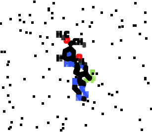 COC(C)[C@]12C[C@H](C)C[C@H](C1)N2C(=O)Nc1cc(-c2cn3ncnc3cn2)c(C(F)(F)F)cn1